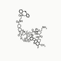 CC[C@@]1(O)C(=O)OCc2c1cc1n(c2=O)Cc2c-1nc1cc(F)c(C)c3c1c2C(NC(=O)[C@H](CCCCN)NC(=O)[C@@H](NC(=O)CCC(C)(C)OCCC(C)(C)C(=O)N1CCC2(CCC(C(=O)NCCC(=O)N4Cc5ccccc5C#Cc5ccccc54)CC2)CC1)C(C)C)CC3